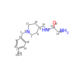 CCc1ccc(CN2CCC(CNC(=O)CN)CC2)cc1